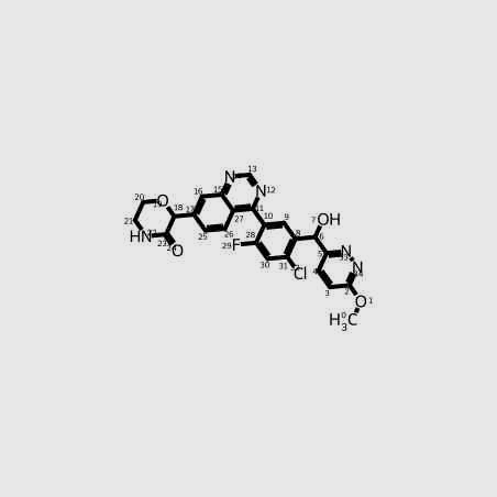 COc1ccc(C(O)c2cc(-c3ncnc4cc(C5OCCNC5=O)ccc34)c(F)cc2Cl)nn1